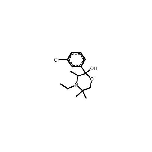 CCN1C(C)C(O)(c2cccc(Cl)c2)OCC1(C)C